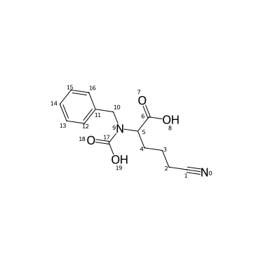 N#CCCCC(C(=O)O)N(Cc1ccccc1)C(=O)O